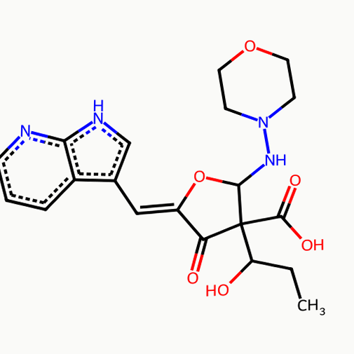 CCC(O)C1(C(=O)O)C(=O)/C(=C/c2c[nH]c3ncccc23)OC1NN1CCOCC1